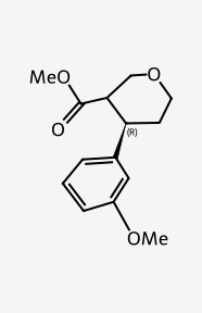 COC(=O)C1COCC[C@H]1c1cccc(OC)c1